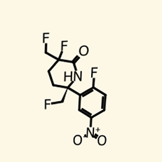 O=C1N[C@](CF)(c2cc([N+](=O)[O-])ccc2F)CCC1(F)CF